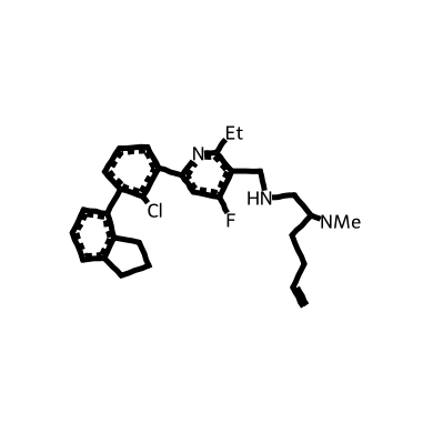 C=CCCC(CNCc1c(F)cc(-c2cccc(-c3cccc4c3CCC4)c2Cl)nc1CC)NC